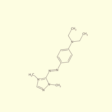 CCN(CC)c1ccc(N=Nc2n(C)nc[n+]2C)cc1